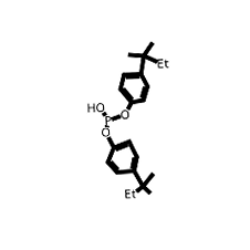 CCC(C)(C)c1ccc(OP(O)Oc2ccc(C(C)(C)CC)cc2)cc1